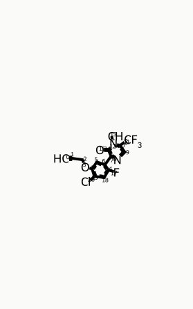 C#CCOc1cc(-c2ncc(C(F)(F)F)n(C)c2=O)c(F)cc1Cl